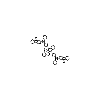 Cc1cc(N(c2ccccc2)c2ccc3c(c2)sc2ccccc23)c(C)cc1-c1c2c(c(-c3ccc(N(c4ccccc4)c4ccc5c(c4)sc4ccccc45)cc3)c3ccccc13)Oc1ccccc1O2